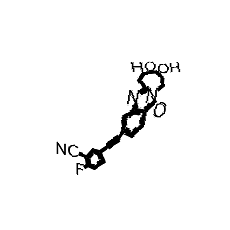 N#Cc1cc(C#Cc2ccc3c(=O)n4c(nc3c2)CCC(O)(O)CC4)ccc1F